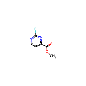 COC(=O)c1ccnc(F)n1